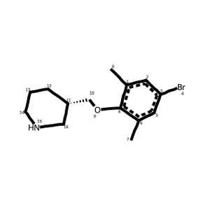 Cc1cc(Br)cc(C)c1OC[C@H]1CCCNC1